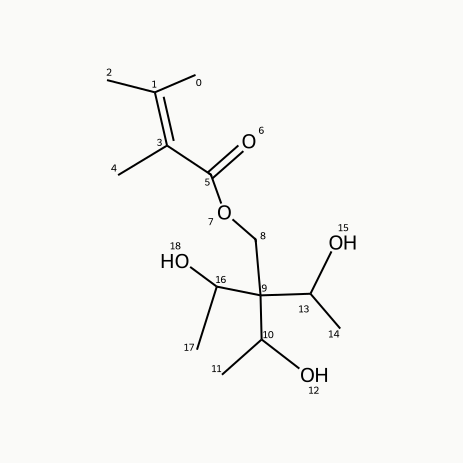 CC(C)=C(C)C(=O)OCC(C(C)O)(C(C)O)C(C)O